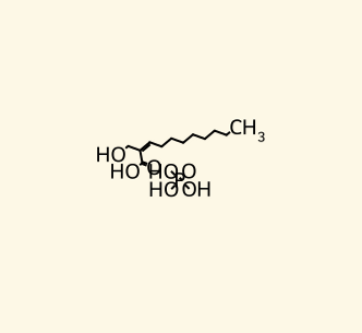 CCCCCCCCC=C(CO)C(=O)O.O=P(O)(O)O